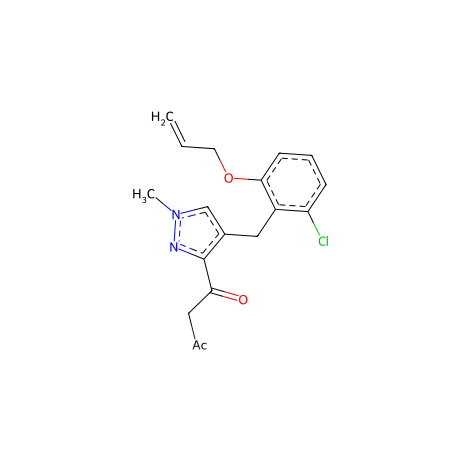 C=CCOc1cccc(Cl)c1Cc1cn(C)nc1C(=O)CC(C)=O